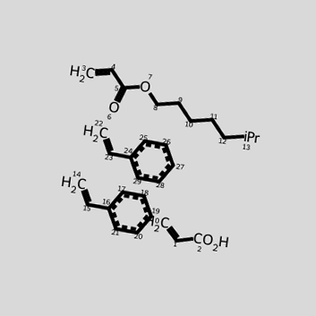 C=CC(=O)O.C=CC(=O)OCCCCCC(C)C.C=Cc1ccccc1.C=Cc1ccccc1